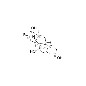 C[C@]12CC[C@H]3[C@@H]([C@@H](O)CC4C[C@@H](O)CC[C@@]43C)[C@@H]1C[C@@H](F)[C@@H]2O